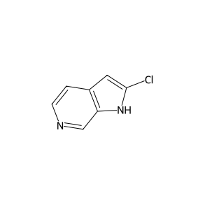 Clc1cc2ccncc2[nH]1